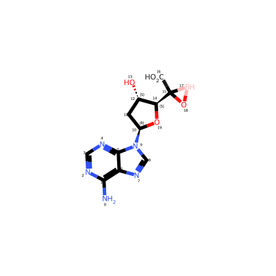 Nc1ncnc2c1ncn2[C@H]1C[C@H](O)[C@@H](C2(C(=O)O)BO2)O1